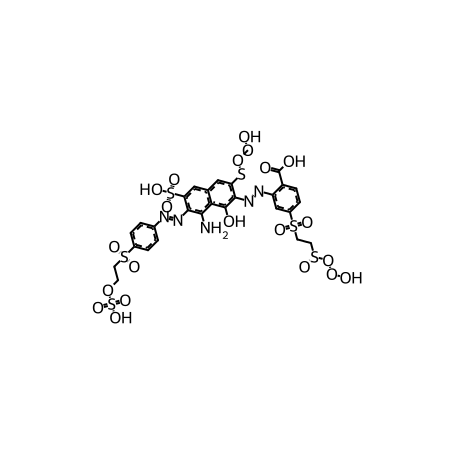 Nc1c(/N=N/c2ccc(S(=O)(=O)CCOS(=O)(=O)O)cc2)c(S(=O)(=O)O)cc2cc(SOOO)c(/N=N/c3cc(S(=O)(=O)CCS(=O)OOO)ccc3C(=O)O)c(O)c12